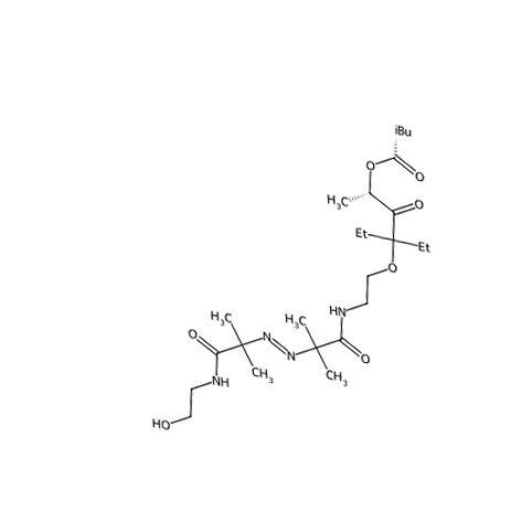 CC[C@@H](C)C(=O)O[C@@H](C)C(=O)C(CC)(CC)OCCNC(=O)C(C)(C)N=NC(C)(C)C(=O)NCCO